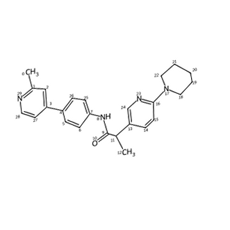 Cc1cc(-c2ccc(NC(=O)C(C)c3ccc(N4CCCCC4)nc3)cc2)ccn1